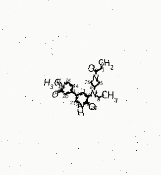 C=CC(=O)N1CC(N(CC)c2cc(-c3ccn(C)c(=O)c3)c[nH]c2=O)C1